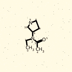 CCN(C(C)=O)C1CC[N]C1